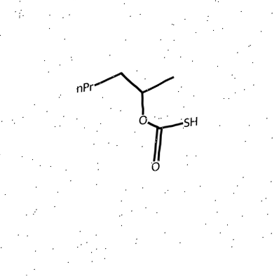 CCCCC(C)OC(=O)S